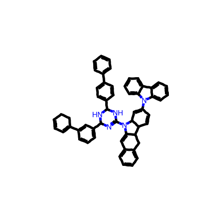 C1=CCCC(c2cccc(C3N=C(N4C5=Cc6ccccc6CC5C5C=CC(n6c7ccccc7c7ccccc76)=CC54)NC(c4ccc(-c5ccccc5)cc4)N3)c2)=C1